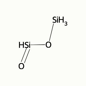 O=[SiH]O[SiH3]